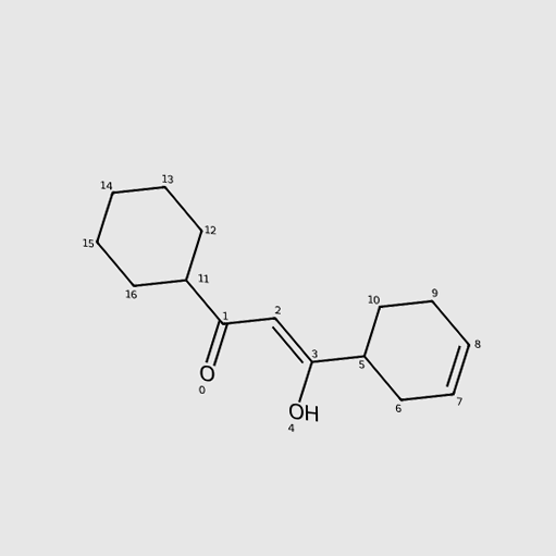 O=C(/C=C(\O)C1CC=CCC1)C1CCCCC1